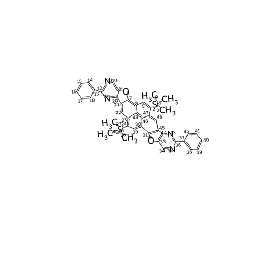 C[Si](C)(C)c1cc2c3oc4cnc(-c5ccccc5)nc4c3cc3c([Si](C)(C)C)cc4c5oc6cnc(-c7ccccc7)nc6c5cc1c4c32